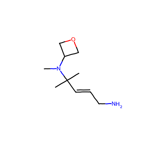 CN(C1COC1)C(C)(C)C=CCN